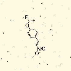 O=[N+]([O-])C=Cc1ccc(OC(F)F)cc1